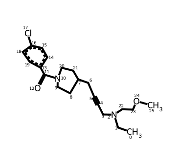 CCN(CC#CCC1CCN(C(=O)c2ccc(Cl)cc2)CC1)CCOC